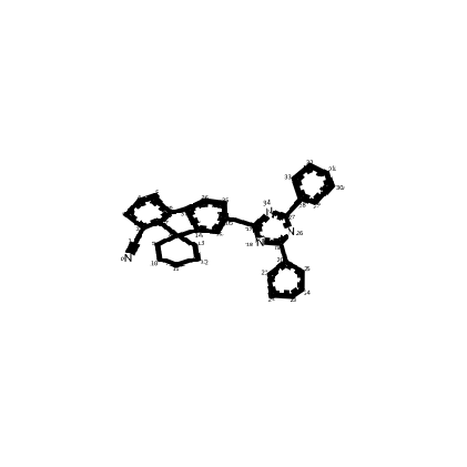 N#Cc1cccc2c1C1(CCCCC1)c1cc(-c3nc(-c4ccccc4)nc(-c4ccccc4)n3)ccc1-2